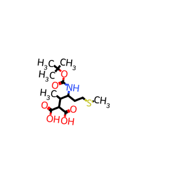 CSCCC(NC(=O)OC(C)(C)C)C(C)C(C(=O)O)C(=O)O